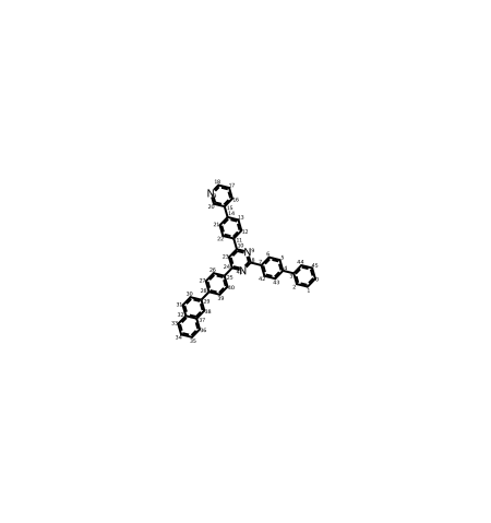 c1ccc(-c2ccc(-c3nc(-c4ccc(-c5cccnc5)cc4)cc(-c4ccc(-c5ccc6ccccc6c5)cc4)n3)cc2)cc1